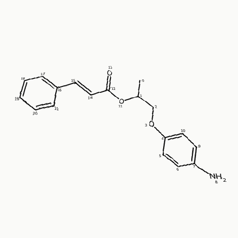 CC(COc1ccc(N)cc1)OC(=O)C=Cc1ccccc1